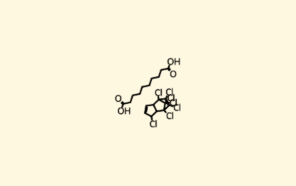 ClC1=C(Cl)C2(Cl)C3C(Cl)C=CC3C1(Cl)C2(Cl)Cl.O=C(O)CCCCCCCCC(=O)O